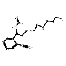 [C-]#[N+]c1ccccc1C(CCCCCCCCC)OC=O